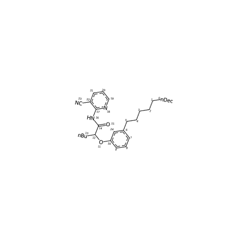 CCCCCCCCCCCCCCCc1cccc(OC(CCCC)C(=O)Nc2ncccc2C#N)c1